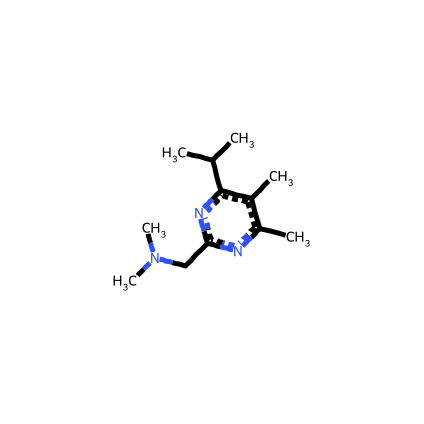 Cc1nc(CN(C)C)nc(C(C)C)c1C